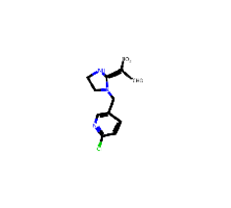 O=C/C(=C1/NCCN1Cc1ccc(Cl)nc1)[N+](=O)[O-]